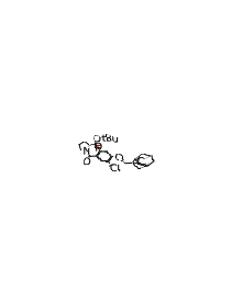 CC(C)(C)OC(=O)[C@@H]1CCCN1C(=O)c1cc(Cl)c(OCC23CC4CC(CC2C4)C3)cc1F